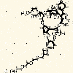 COCCOCCOCCOCC1CN(c2nccc(COc3ccc4cc3C[C@H](C(O)O)Oc3ncnc5sc(-c6ccc(F)cc6)c(c35)-c3c(C)c(Cl)c(c(Cl)c3C)O[C@H](CN3CCN(C)CC3)CO4)n2)C1